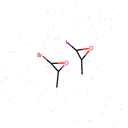 CC1OC1Br.CC1OC1I